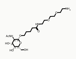 CC(=O)N[C@H]1[C@H](OCCCCC(=O)NCCOCCOCCN)O[C@H](CO)[C@H](O)[C@@H]1O